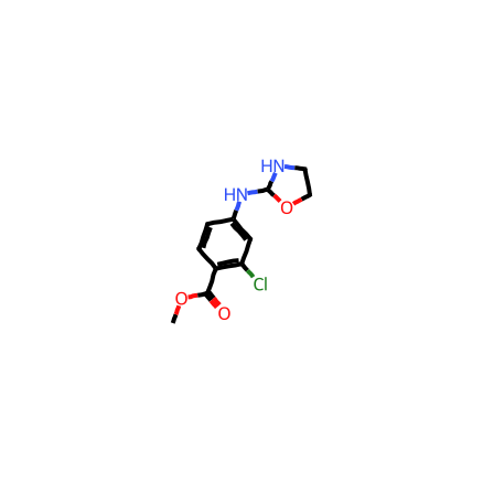 COC(=O)c1ccc(NC2NCCO2)cc1Cl